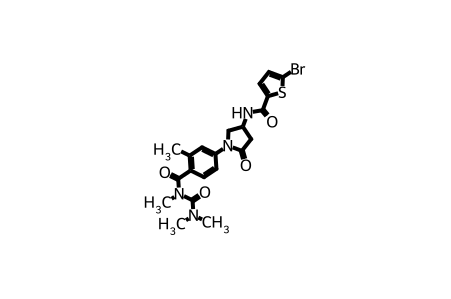 Cc1cc(N2CC(NC(=O)c3ccc(Br)s3)CC2=O)ccc1C(=O)N(C)C(=O)N(C)C